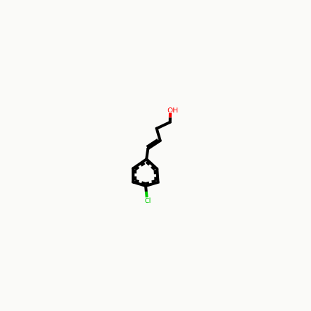 OCC/C=C/c1ccc(Cl)cc1